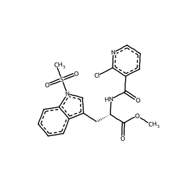 COC(=O)[C@H](Cc1cn(S(C)(=O)=O)c2ccccc12)NC(=O)c1cccnc1Cl